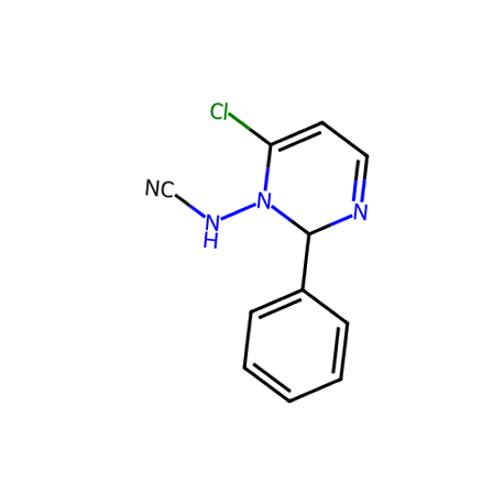 N#CNN1C(Cl)=CC=NC1c1ccccc1